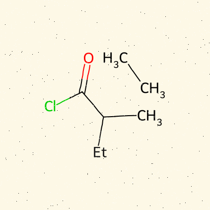 CC.CCC(C)C(=O)Cl